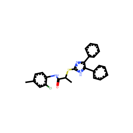 Cc1ccc(NC(=O)C(C)Sc2nc(-c3ccccc3)c(-c3ccccc3)[nH]2)c(Cl)c1